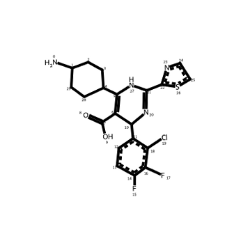 NC1CCC(C2=C(C(=O)O)C(c3ccc(F)c(F)c3Cl)N=C(c3nccs3)N2)CC1